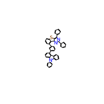 c1ccc(-c2nc(-c3ccccc3)c3sc4cccc(-c5cccc(-c6cccc7c6c6ccccc6n7-c6ccccc6)c5)c4c3n2)cc1